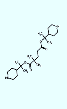 CC(C)(CCC(=O)OC(C)(C)C1CCNCC1)C(=O)OC(C)(C)C1CCNCC1